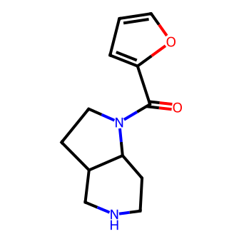 O=C(c1ccco1)N1CCC2CNCCC21